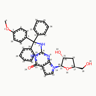 COc1ccc(C(Nc2nc3c(ccn3[C@@H]3O[C@H](CO)C[C@H]3O)c(=O)[nH]2)(c2ccccc2)c2ccccc2)cc1